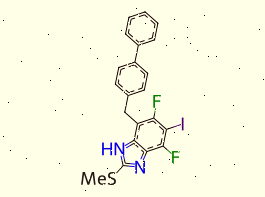 CSc1nc2c(F)c(I)c(F)c(Cc3ccc(-c4ccccc4)cc3)c2[nH]1